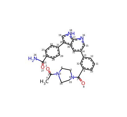 CC(=O)N1CCN(C(=O)c2cccc(-c3cnc4[nH]cc(-c5ccc(C(N)=O)cc5)c4c3)c2)CC1